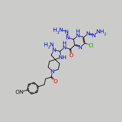 NN=NC1=C(Cl)N=C(C(=O)NC2NC3(CCN(C(=O)CCc4ccc(N=O)cc4)CC3)CN2N)C(N=NN)N1